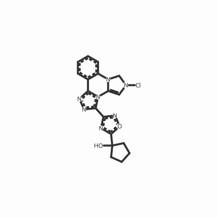 OC1(c2nc(-c3nnc4n3C3=CN(Cl)CN3c3ccccc3-4)no2)CCCC1